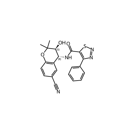 CC1(C)Oc2ccc(C#N)cc2[C@@H](NC(=O)c2snnc2-c2ccccc2)[C@@H]1O